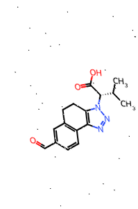 CC(C)[C@@H](C(=O)O)n1nnc2c1CCc1cc(C=O)ccc1-2